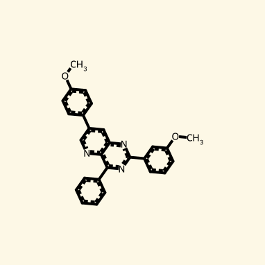 COc1ccc(-c2cnc3c(-c4ccccc4)nc(-c4cccc(OC)c4)nc3c2)cc1